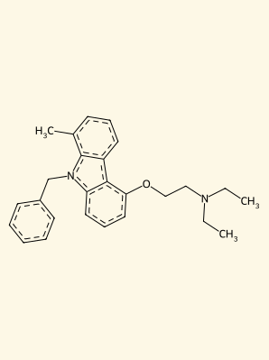 CCN(CC)CCOc1cccc2c1c1cccc(C)c1n2Cc1ccccc1